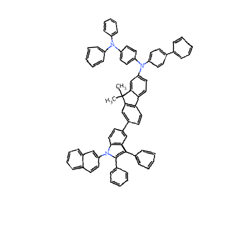 CC1(C)c2cc(-c3ccc4c(c3)c(-c3ccccc3)c(-c3ccccc3)n4-c3ccc4ccccc4c3)ccc2-c2ccc(N(c3ccc(-c4ccccc4)cc3)c3ccc(N(c4ccccc4)c4ccccc4)cc3)cc21